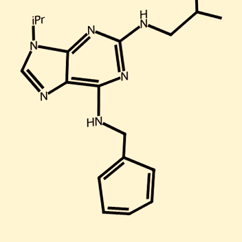 CC(O)CNc1nc(NCc2ccccc2)c2ncn(C(C)C)c2n1